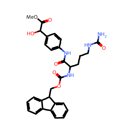 COC(=O)C(O)c1ccc(NC(=O)C(CCCNC(N)=O)NC(=O)OCC2c3ccccc3-c3ccccc32)cc1